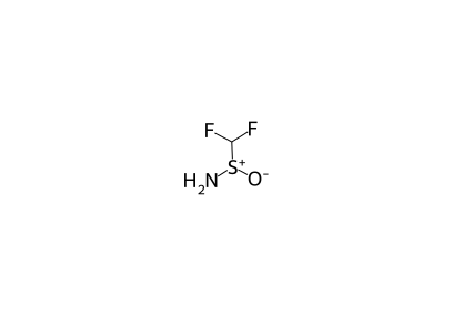 N[S+]([O-])C(F)F